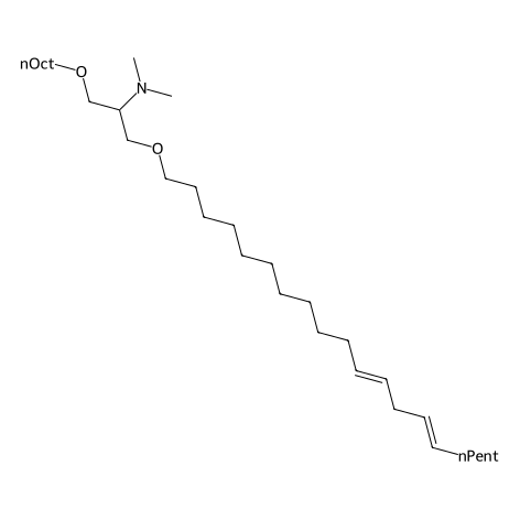 CCCCCC=CCC=CCCCCCCCCCCOCC(COCCCCCCCC)N(C)C